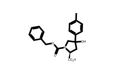 Cc1ccc(C2(O)C[C@@H](C(=O)O)N(C(=O)OCc3ccccc3)C2)cc1